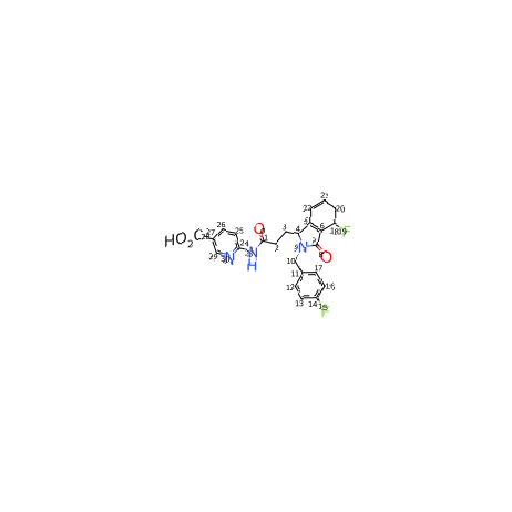 O=C(CCC1C2=C(C(=O)N1Cc1ccc(F)cc1)C(F)CC=C2)Nc1ccc(C(=O)O)cn1